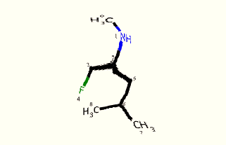 CNC(CF)CC(C)C